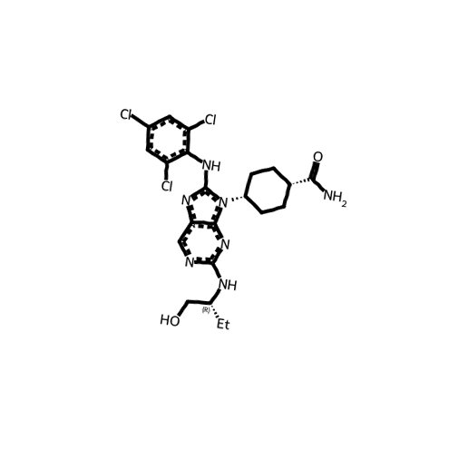 CC[C@H](CO)Nc1ncc2nc(Nc3c(Cl)cc(Cl)cc3Cl)n([C@H]3CC[C@@H](C(N)=O)CC3)c2n1